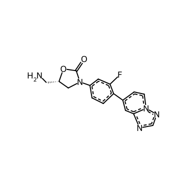 NC[C@H]1CN(c2ccc(-c3ccn4ncnc4c3)c(F)c2)C(=O)O1